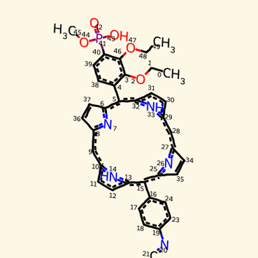 CCOc1c(-c2c3nc(cc4ccc([nH]4)c(-c4ccc(N=C=S)cc4)c4nc(cc5ccc2[nH]5)C=C4)C=C3)ccc(P(=O)(O)OC)c1OCC